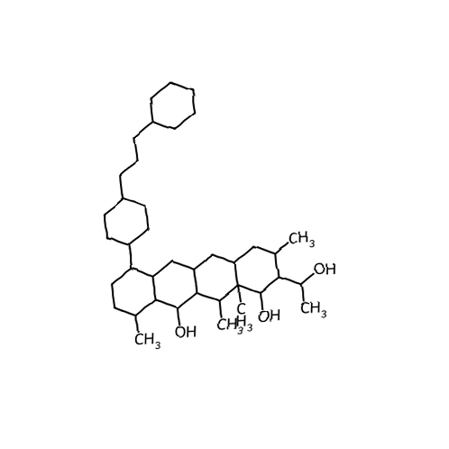 CC(O)C1C(C)CC2CC3CC4C(C5CCC(CCCC6CCCCC6)CC5)CCC(C)C4C(O)C3C(C)C2(C)C1O